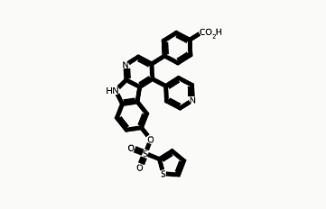 O=C(O)c1ccc(-c2cnc3[nH]c4ccc(OS(=O)(=O)c5cccs5)cc4c3c2-c2ccncc2)cc1